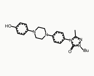 CCC(C)n1nc(C)n(-c2ccc(N3CCN(c4ccc(O)cc4)CC3)cc2)c1=O